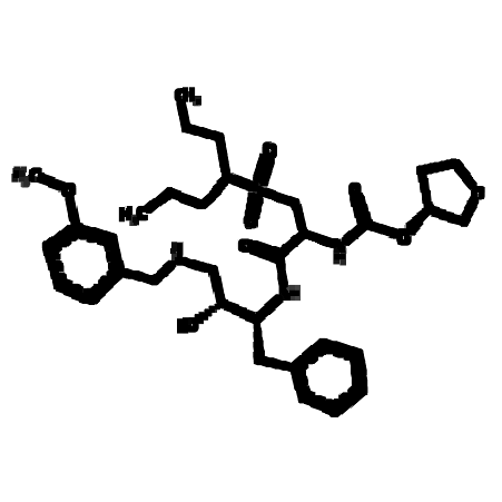 CCCC(CCC)S(=O)(=O)CC(NC(=O)O[C@H]1CCOC1)C(=O)N[C@@H](Cc1ccccc1)[C@H](O)CNCc1cccc(OC)c1